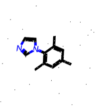 Cc1cc(C)c(-n2[c]ncc2)c(C)c1